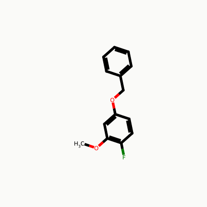 COc1cc(OCc2ccccc2)ccc1F